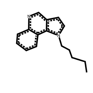 CCCCCn1ccc2cnc3ccccc3c21